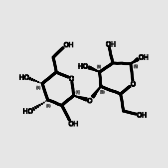 OCC1O[C@@H](O[C@@H]2C(CO)O[C@H](O)C(O)[C@@H]2O)C(O)[C@H](O)[C@@H]1O